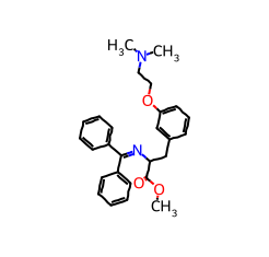 COC(=O)C(Cc1cccc(OCCN(C)C)c1)N=C(c1ccccc1)c1ccccc1